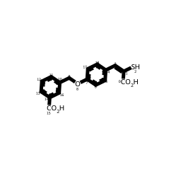 O=C(O)/C(S)=C\c1ccc(OCc2cccc(C(=O)O)c2)cc1